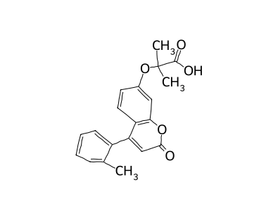 Cc1ccccc1-c1cc(=O)oc2cc(OC(C)(C)C(=O)O)ccc12